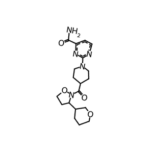 NC(=O)c1ccnc(N2CCC(C(=O)N3OCCC3C3CCCOC3)CC2)n1